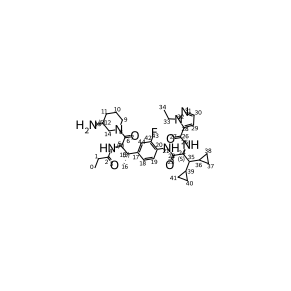 CCC(=O)N[C@@H](C(=O)N1CCC[C@H](N)C1)[C@@H](C)c1ccc(NC(=O)[C@@H](NC(=O)c2ccnn2CC)C(C2CC2)C2CC2)c(F)c1